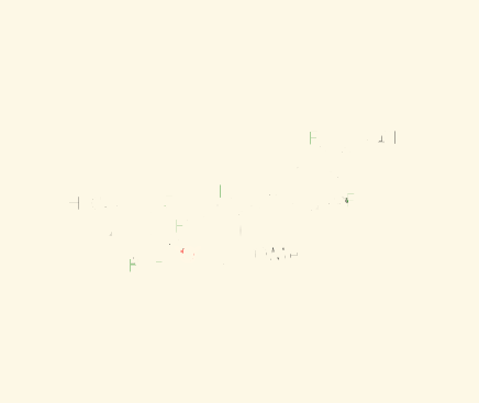 COc1cc(OC(F)(F)c2c(F)cc(C)cc2F)cc(F)c1C#Cc1cc(F)c(C#CC(F)(F)F)c(F)c1